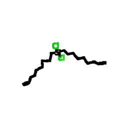 C=CCCCCCCC[Si](Cl)(Cl)CCCCCCCC=C